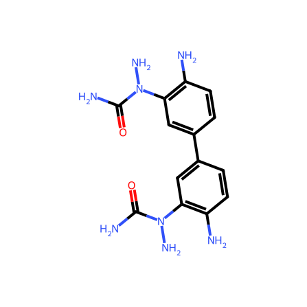 NC(=O)N(N)c1cc(-c2ccc(N)c(N(N)C(N)=O)c2)ccc1N